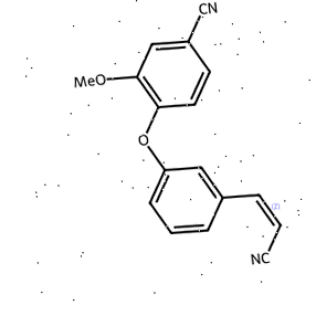 COc1cc(C#N)ccc1Oc1cccc(/C=C\C#N)c1